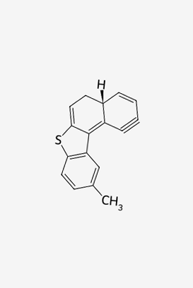 Cc1ccc2sc3c(c2c1)=C1C#CC=C[C@H]1CC=3